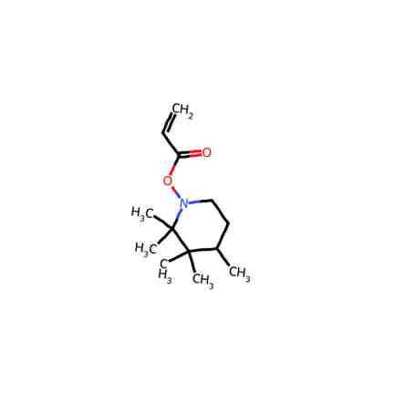 C=CC(=O)ON1CCC(C)C(C)(C)C1(C)C